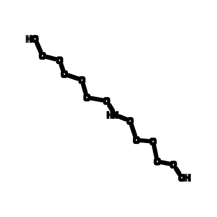 OOOOOONOOOOOOO